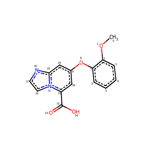 COc1ccccc1Oc1cc(C(=O)O)n2ccnc2c1